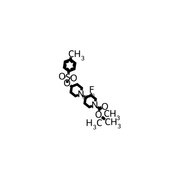 Cc1ccc(S(=O)(=O)OC2CCN([C@@H]3CCN(C(=O)OC(C)(C)C)C[C@H]3F)CC2)cc1